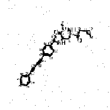 COC(=O)C(CN(N)C(=O)CC1CC1)NC(=O)c1ccc(C#CC#Cc2ccccc2)cc1